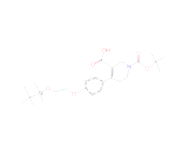 CC(C)(C)OC(=O)N1CCC(c2ccc(OCCO[Si](C)(C)C(C)(C)C)cc2)=C(C(=O)O)C1